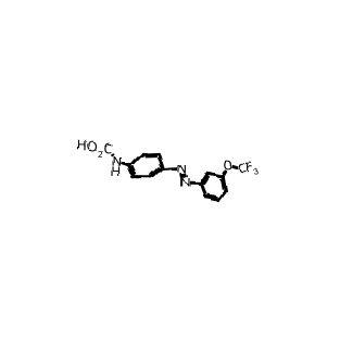 O=C(O)Nc1ccc(N=Nc2cccc(OC(F)(F)F)c2)cc1